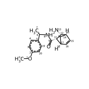 COc1ccc([C@@H](C)NC(=O)[C@@H]2[C@H](N)[C@H]3C=C[C@@H]2C3)cc1